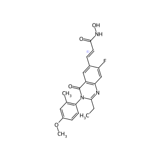 CCc1nc2cc(F)c(/C=C/C(=O)NO)cc2c(=O)n1-c1ccc(OC)cc1C